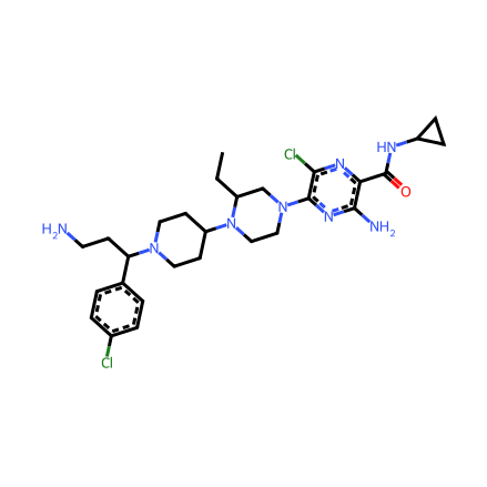 CCC1CN(c2nc(N)c(C(=O)NC3CC3)nc2Cl)CCN1C1CCN(C(CCN)c2ccc(Cl)cc2)CC1